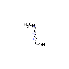 C\N=C/C=C/C=C/C=C\O